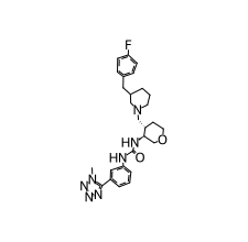 Cn1nnnc1-c1cccc(NC(=O)N[C@@H]2COCC[C@H]2CN2CCCC(Cc3ccc(F)cc3)C2)c1